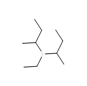 CCC(C)P(CC)C(C)CC